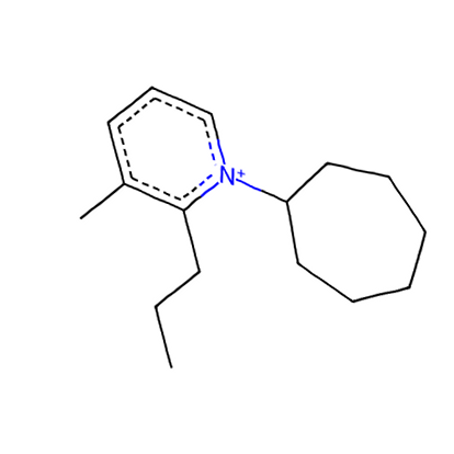 CCCc1c(C)ccc[n+]1C1CCCCCC1